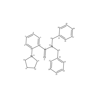 O=C(c1ccccc1N1CCCC1)N(Cc1ccccc1)Cc1ccccc1